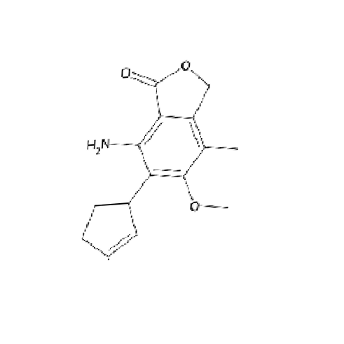 COc1c(C)c2c(c(N)c1C1C=[C]CC1)C(=O)OC2